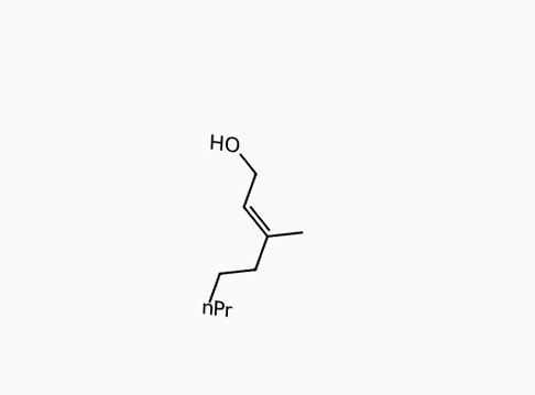 CCCCCC(C)=CCO